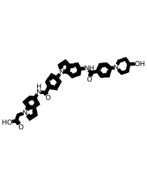 O=C(O)Cn1ccc2cc(NC(=O)c3ccc(-n4ccc5cc(NC(=O)c6ccc(N7CCC(O)CC7)cc6)ccc54)cc3)ccc21